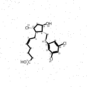 O=C(O)CCC/C=C\C[C@@H]1[C@@H](CSc2cc(Cl)cc(Cl)c2)[C@H](O)C[C@H]1Cl